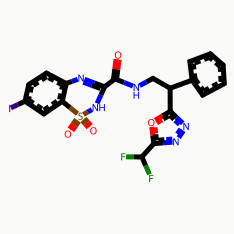 O=C(NCC(c1ccccc1)c1nnc(C(F)F)o1)C1=Nc2ccc(I)cc2S(=O)(=O)N1